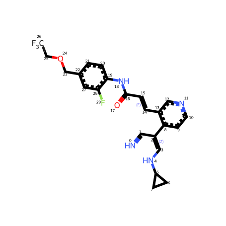 N=C/C(=C\NC1CC1)c1ccncc1/C=C/C(=O)Nc1ccc(COCC(F)(F)F)cc1F